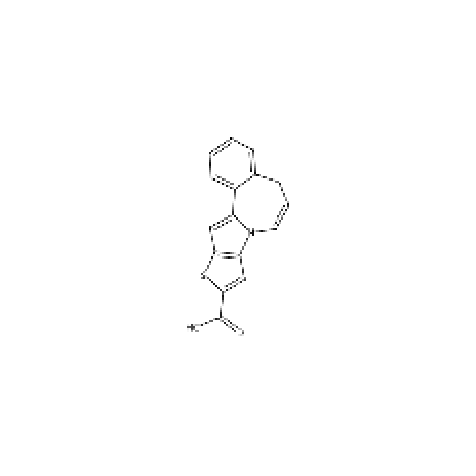 O=C(O)c1cc2c(cc3n2C=CCc2ccccc2-3)s1